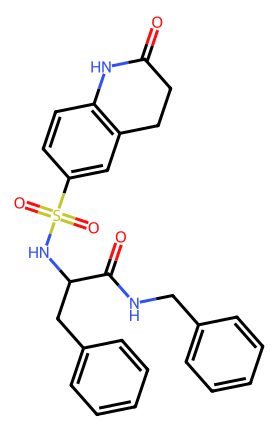 O=C1CCc2cc(S(=O)(=O)NC(Cc3ccccc3)C(=O)NCc3ccccc3)ccc2N1